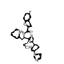 CCn1c(-c2ccc(-n3ccnc3)cc2)cnc1C(Cc1ccccn1)NC(=O)c1cc2cc(F)ccc2o1